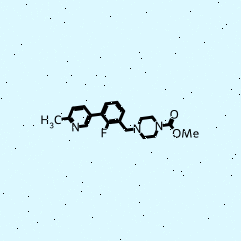 COC(=O)N1CCN(Cc2cccc(-c3ccc(C)nc3)c2F)CC1